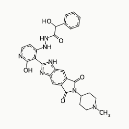 CN1CCC(N2C(=O)c3cc4nc(-c5c(NNC(=O)C(O)c6ccccc6)ccnc5O)[nH]c4cc3C2=O)CC1